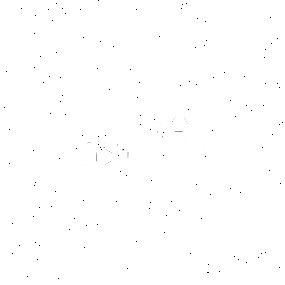 COc1cc(NC(=O)C2CCC(N3Cc4c(C)cccc4C3=O)CC2)ccc1Br